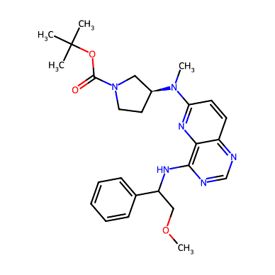 COCC(Nc1ncnc2ccc(N(C)[C@H]3CCN(C(=O)OC(C)(C)C)C3)nc12)c1ccccc1